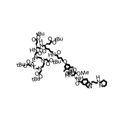 COC(=O)[C@H](CNC(=O)c1ccc2c(cnn2CCNC2=NCCCC2)c1)NS(=O)(=O)c1c(C)cc(OCCCC(=O)NCCCC(=O)[C@H](CCC(=O)OC(C)(C)C)NC(=O)[C@H](CCC(=O)OC(C)(C)C)NC(=O)CN2CCN(CC(=O)OC(C)(C)C)CCN(CC(=O)OC(C)(C)C)CCN(CC(=O)OC(C)(C)C)CC2)cc1C